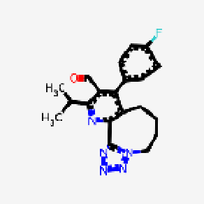 CC(C)c1nc2c(c(-c3ccc(F)cc3)c1C=O)CCCCn1nnnc1-2